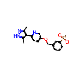 Cc1n[nH]c(C)c1-c1ccc(OCc2cccc(S(C)(=O)=O)c2)cn1